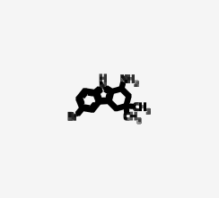 CC1(C)Cc2c([nH]c3ccc(Br)cc23)C(N)C1